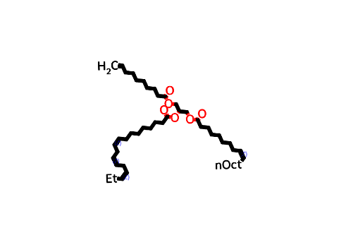 C=CCCCCCCCC(=O)OCC(COC(=O)CCCCCCC/C=C\CCCCCCCC)OC(=O)CCCCCCC/C=C\C/C=C\C/C=C\CC